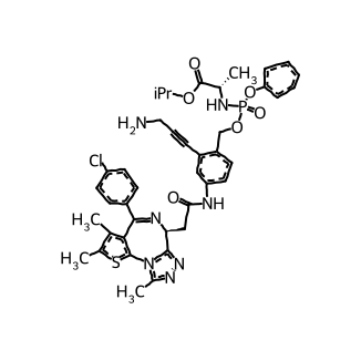 Cc1sc2c(c1C)C(c1ccc(Cl)cc1)=N[C@@H](CC(=O)Nc1ccc(COP(=O)(N[C@@H](C)C(=O)OC(C)C)Oc3ccccc3)c(C#CCN)c1)c1nnc(C)n1-2